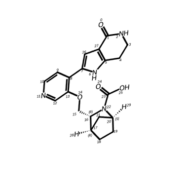 O=C1NCCc2[nH]c(-c3ccncc3OC[C@H]3[C@@H]4CC[C@@H](C4)N3C(=O)O)cc21